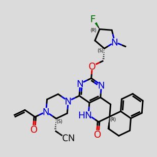 C=CC(=O)N1CCN(c2nc(OC[C@@H]3C[C@@H](F)CN3C)nc3c2NC(=O)[C@]2(CCCc4ccccc42)C3)C[C@@H]1CC#N